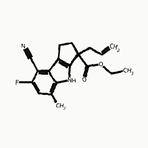 C=CCC1(C(=O)OCC)CCc2c1[nH]c1c(C)cc(F)c(C#N)c21